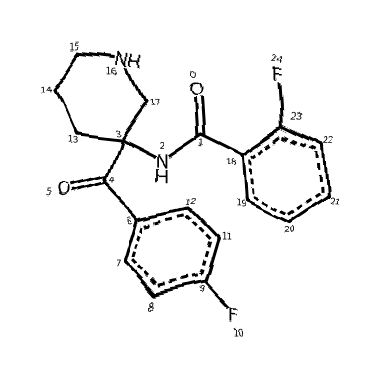 O=C(NC1(C(=O)c2ccc(F)cc2)CCCNC1)c1ccccc1F